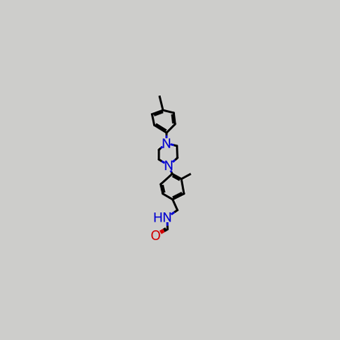 Cc1ccc(N2CCN(c3ccc(CNC=O)cc3C)CC2)cc1